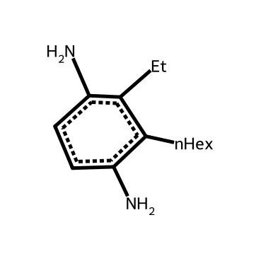 CCCCCCc1c(N)ccc(N)c1CC